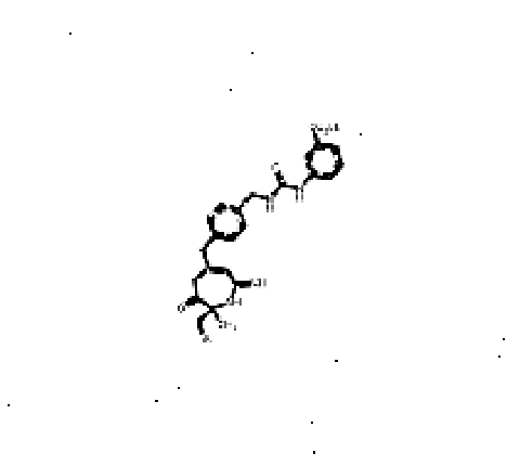 CCOC(=O)c1cccc(NC(=O)NCc2ccc(CC3=CC(=N)NC(C)(CC(C)C)C(=O)C3)cc2)c1